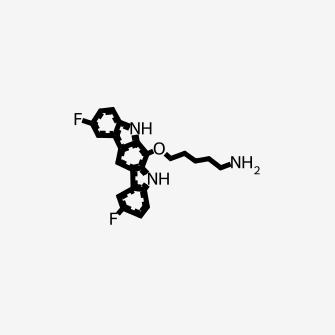 NCCCCCOc1c2[nH]c3ccc(F)cc3c2cc2c1[nH]c1ccc(F)cc12